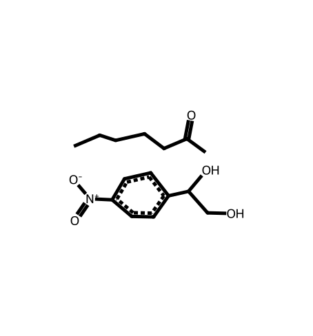 CCCCCC(C)=O.O=[N+]([O-])c1ccc(C(O)CO)cc1